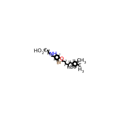 CCCCC(CCCOc1ccc(CNCCC(=O)O)cc1Br)Cc1ccc(C)c(C)c1